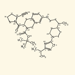 CC(C)c1noc(N2CCC(C(C)CCOc3ccc4c(c3)CN(C(=O)OC(C)(C)C)C(C(=O)N3CCCC3C#N)C4)CC2)n1